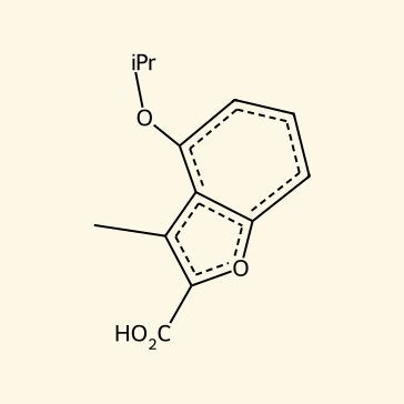 Cc1c(C(=O)O)oc2cccc(OC(C)C)c12